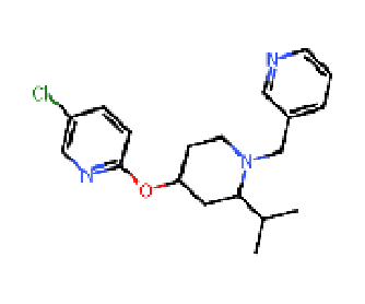 CC(C)C1CC(Oc2ccc(Cl)cn2)CCN1Cc1cccnc1